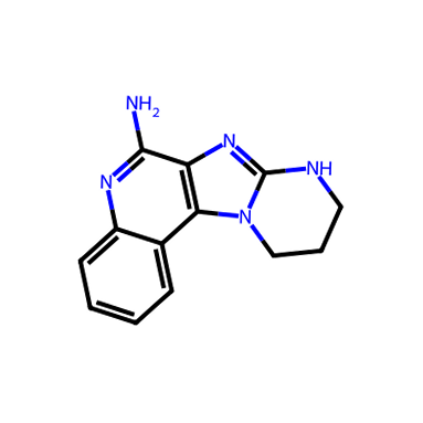 Nc1nc2ccccc2c2c1nc1n2CCCN1